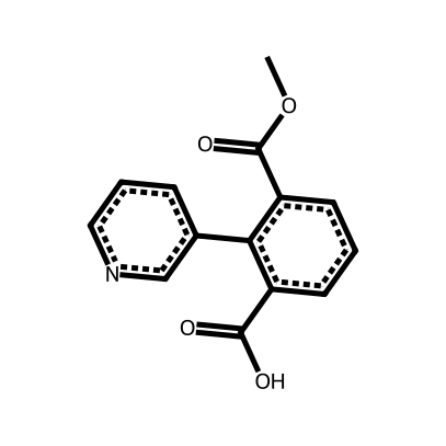 COC(=O)c1cccc(C(=O)O)c1-c1cccnc1